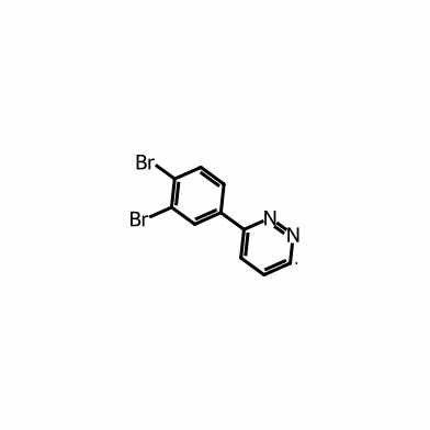 Brc1ccc(-c2cc[c]nn2)cc1Br